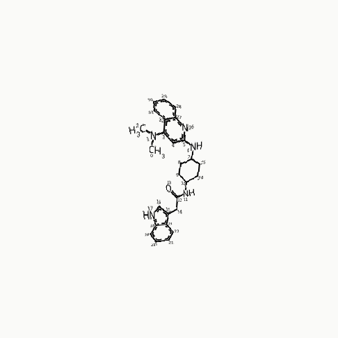 CN(C)c1cc(NC2CCC(NC(=O)Cc3c[nH]c4ccccc34)CC2)nc2ccccc12